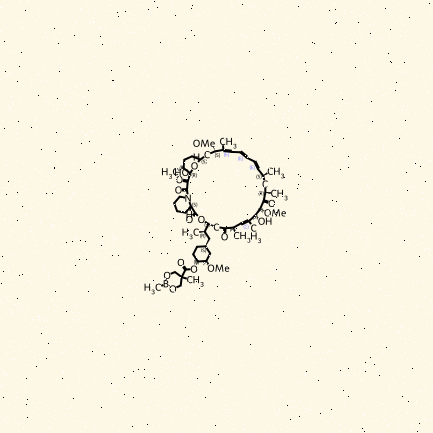 CO[C@H]1C[C@@H]2CC[C@@H](C)[C@@](O)(O2)C(=O)C(=O)N2CCCC[C@H]2C(=O)O[C@H]([C@H](C)C[C@@H]2CC[C@@H](OC(=O)C3(C)COB(C)OC3)[C@H](OC)C2)CC(=O)[C@H](C)/C=C(\C)[C@@H](O)[C@@H](OC)C(=O)[C@H](C)C[C@H](C)/C=C/C=C/C=C/1C